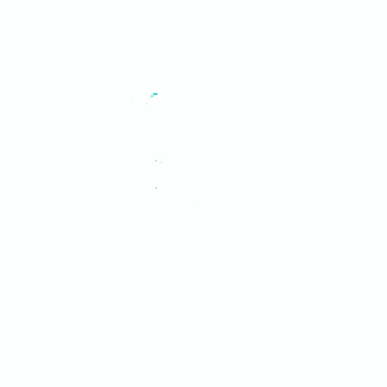 C[C@]1(NC(=O)OCc2ccccc2)C[C@H]1F